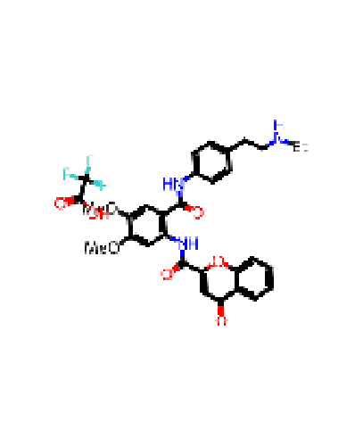 CCNCCc1ccc(NC(=O)c2cc(OC)c(OC)cc2NC(=O)c2cc(=O)c3ccccc3o2)cc1.O=C(O)C(F)(F)F